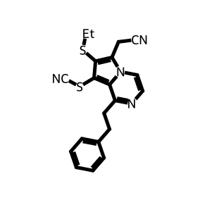 CCSc1c(SC#N)c2c(CCc3ccccc3)nccn2c1CC#N